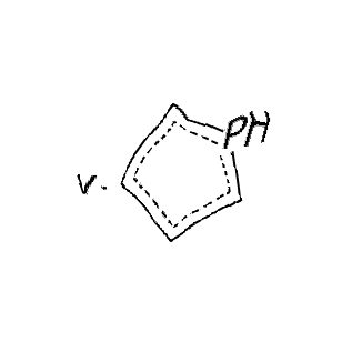 [V].c1cc[pH]c1